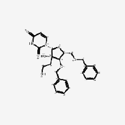 O=c1ccn([C@@H]2O[C@H](COCc3ccccc3)[C@@H](OCc3ccccc3)[C@@]2(O)CCO)c(=O)[nH]1